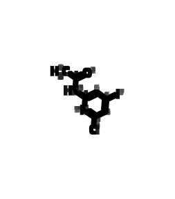 CC(=O)Nc1cc(I)cc(Cl)n1